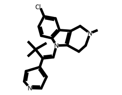 CN1CCc2c(c3cc(Cl)ccc3n2C=C(c2ccncc2)C(C)(C)C)C1